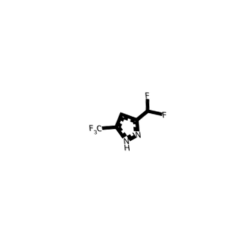 FC(F)c1cc(C(F)(F)F)[nH]n1